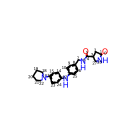 O=C1CC(C(=O)NCc2ccc(Nc3ccc(N4CCCCC4)cc3)cc2)CN1